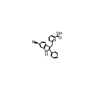 N#Cc1ccc2c(Cc3cccc(C(=O)O)n3)c(-c3ccccc3)[nH]c2c1